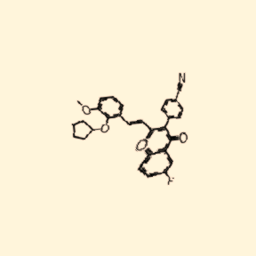 COc1cccc(/C=C/c2oc3ccc(F)cc3c(=O)c2-c2ccc(C#N)cc2)c1OC1CCCC1